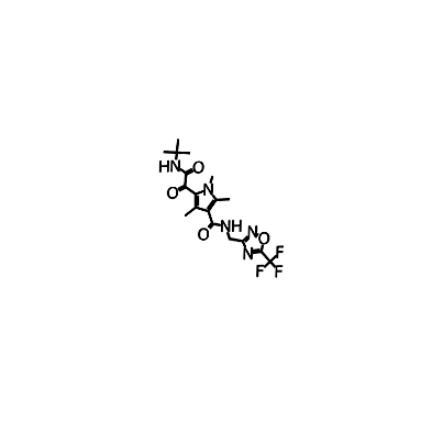 Cc1c(C(=O)NCc2noc(C(F)(F)F)n2)c(C)n(C)c1C(=O)C(=O)NC(C)(C)C